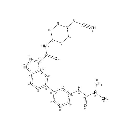 C#CCN1CCC(NC(=O)c2n[nH]c3ccc(-c4cncc(NC(=O)N(C)C)c4)cc23)CC1